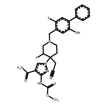 COC(=O)Nc1nn(C2(CC#N)CCN(Cc3cc(O)c(-c4ccccc4)cc3F)CC2F)cc1C(N)=O